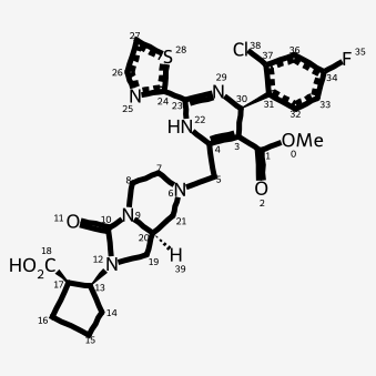 COC(=O)C1=C(CN2CCN3C(=O)N([C@H]4CCC[C@H]4C(=O)O)C[C@@H]3C2)NC(c2nccs2)=N[C@H]1c1ccc(F)cc1Cl